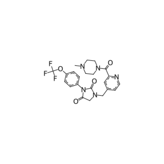 CN1CCN(C(=O)c2cc(CN3CC(=O)N(c4ccc(OC(F)(F)F)cc4)C3=O)ccn2)CC1